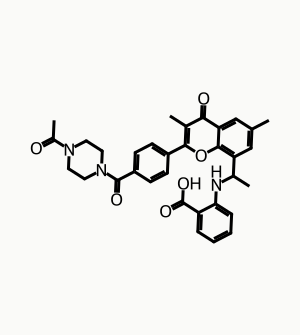 CC(=O)N1CCN(C(=O)c2ccc(-c3oc4c(C(C)Nc5ccccc5C(=O)O)cc(C)cc4c(=O)c3C)cc2)CC1